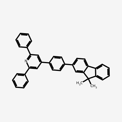 CC1(C)c2ccccc2-c2ccc(-c3ccc(-c4cc(-c5ccccc5)nc(-c5ccccc5)c4)cc3)cc21